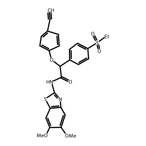 C#Cc1ccc(OC(C(=O)Nc2nc3cc(OC)c(OC)cc3s2)c2ccc(S(=O)(=O)CC)cc2)cc1